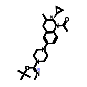 C/N=C(\OC(C)(C)C)N1CCN(c2ccc3c(c2)CC(C)[C@H](C2CC2)N3C(C)=O)CC1